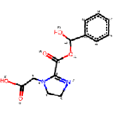 O=C(O)CN1CCN=C1C(=O)OC(O)c1ccccc1